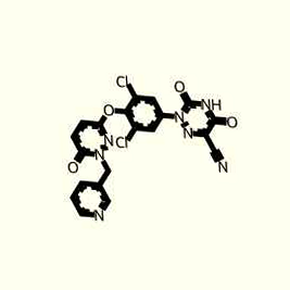 N#Cc1nn(-c2cc(Cl)c(Oc3ccc(=O)n(Cc4cccnc4)n3)c(Cl)c2)c(=O)[nH]c1=O